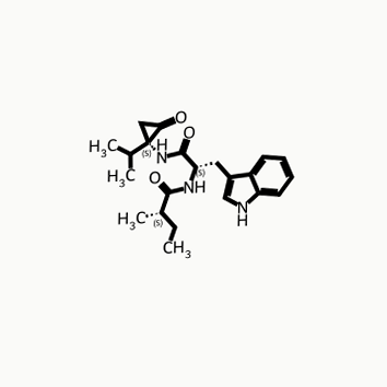 CC[C@H](C)C(=O)N[C@@H](Cc1c[nH]c2ccccc12)C(=O)N[C@]1(C(C)C)CC1=O